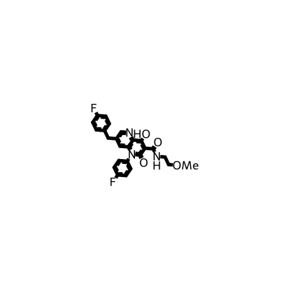 COCCNC(=O)c1c(O)c2ncc(Cc3ccc(F)cc3)cc2n(-c2ccc(F)cc2)c1=O